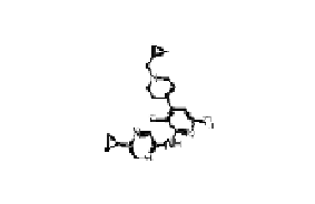 Fc1c(C2=CCN(CC3CC3)CC2)cc(Cl)nc1Nc1cnc(C2CC2)cn1